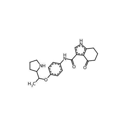 CC(Oc1ccc(NC(=O)c2c[nH]c3c2C(=O)CCC3)cc1)C1CCCN1